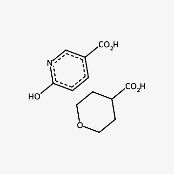 O=C(O)C1CCOCC1.O=C(O)c1ccc(O)nc1